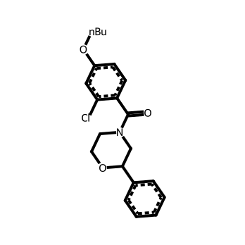 CCCCOc1ccc(C(=O)N2CCOC(c3ccccc3)C2)c(Cl)c1